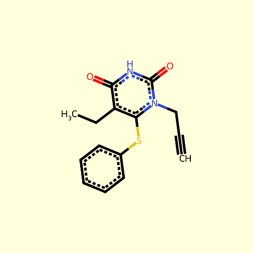 C#CCn1c(Sc2ccccc2)c(CC)c(=O)[nH]c1=O